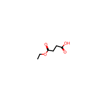 CCOC(=O)[CH]CC(=O)O